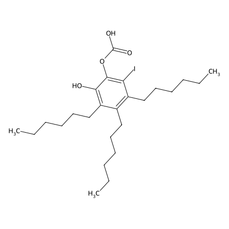 CCCCCCc1c(O)c(OC(=O)O)c(I)c(CCCCCC)c1CCCCCC